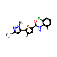 CCn1nc(C(F)(F)F)cc1-c1sc(C(=O)Nc2c(F)cccc2F)cc1F